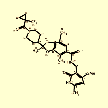 CSc1cc(C)[nH]c(=O)c1CNC(=O)c1cc(C)c2c(c1C)OC(C)(C1CCN(C(=O)C3(C(F)(F)F)CC3)CC1)O2